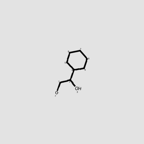 [O]CC(O)C1CCCCC1